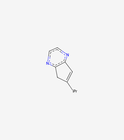 CC(C)C1=Cc2nccnc2C1